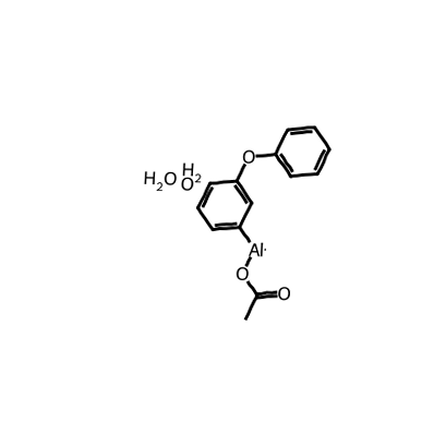 CC(=O)[O][Al][c]1cccc(Oc2ccccc2)c1.O.O